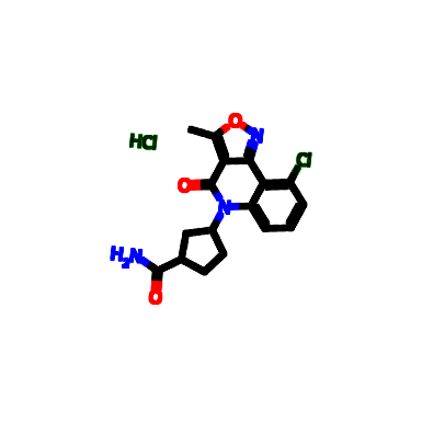 Cc1onc2c1c(=O)n(C1CCC(C(N)=O)C1)c1cccc(Cl)c21.Cl